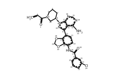 C=CC(=O)N1CCC[C@@H](n2nc(-c3ccc(NC(=O)c4cccc(Cl)c4)c4c3OCO4)c3c(N)ncnc32)C1